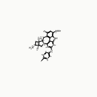 CNc1cc(F)c2c3c1[nH]c1nc(Oc4cnc(C)nc4)nc(c13)N1C[C@H]3[C@H](C[C@H]3N)[C@H]1C2